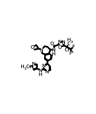 Cn1cc(Nc2nccc(-c3ccc4c(c3)CN(C3COC3)CC[C@H]4NC(=O)c3nnc(C(C)(C)C(F)F)o3)n2)cn1